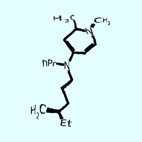 C=C(CC)CCCN(CCC)C1=CC(C)N(C)C=C1